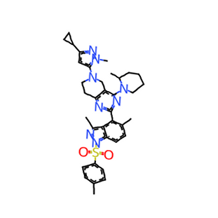 Cc1ccc(S(=O)(=O)n2nc(C)c3c(-c4nc5c(c(N6CCCCC6C)n4)CN(c4cc(C6CC6)nn4C)CC5)c(C)ccc32)cc1